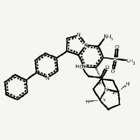 CS(=O)(=O)c1c([C@@H]2C[C@H]3CC[C@@H](C2)N3C(=O)CO)nc2c(-c3ccc(-c4ccccc4)nc3)cnn2c1N